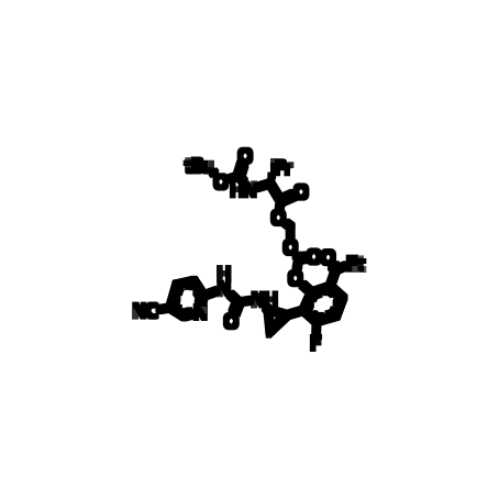 CCC(=O)c1ccc(F)c(C2CC2NC(=O)Nc2ccc(C#N)cn2)c1OC(=O)OCOC(=O)[C@@H](NC(=O)OC(C)(C)C)C(C)C